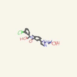 O=C1c2cc(-c3ccnc(NCCO)n3)ccc2CN1C(CO)c1cccc(Cl)c1